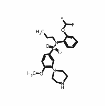 CCCN(c1ccccc1OC(F)F)S(=O)(=O)c1ccc(OC)c(N2CCNCC2)c1